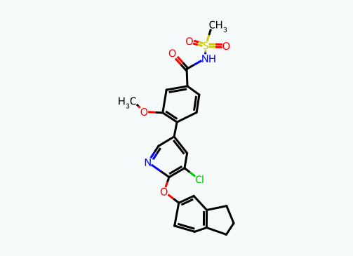 COc1cc(C(=O)NS(C)(=O)=O)ccc1-c1cnc(Oc2ccc3c(c2)CCC3)c(Cl)c1